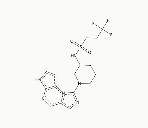 O=S(=O)(CCC(F)(F)F)NC1CCCN(c2ncc3cnc4[nH]ccc4n23)C1